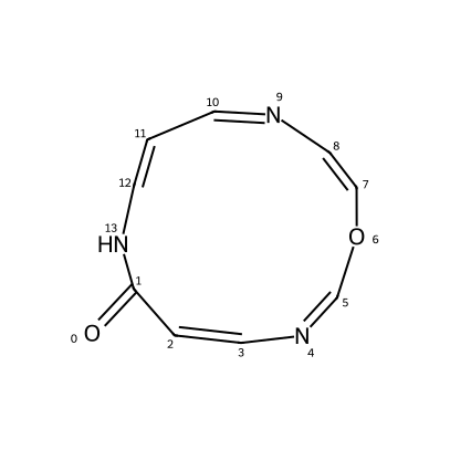 O=c1ccncoccnccc[nH]1